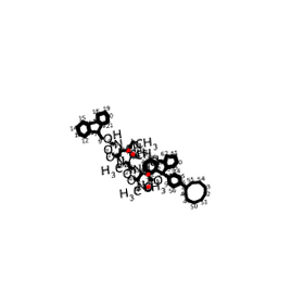 CC[C@H](C)[C@H](NC(=O)OCC1c2ccccc2-c2ccccc21)C(=O)N(C)[C@H](C(=O)N[C@@H](CC(=O)OC(c1ccccc1)(c1ccc(C2CCCCCCCC2)cc1)c1ccccc1Cl)C(=O)N(C)C)C(C)C